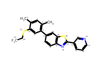 Cc1cc(C)c(-c2ccc3nc(-c4cccnc4)sc3c2)cc1SCC(F)(F)F